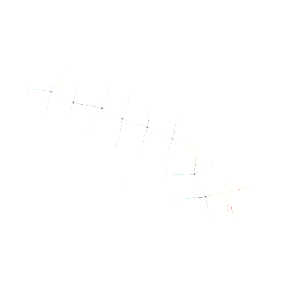 O=S(=O)(O)C(F)(F)C(F)(F)OC(F)(F)C(F)(F)C(F)(F)C(F)(F)C(F)(F)C(F)(F)Cl.[KH]